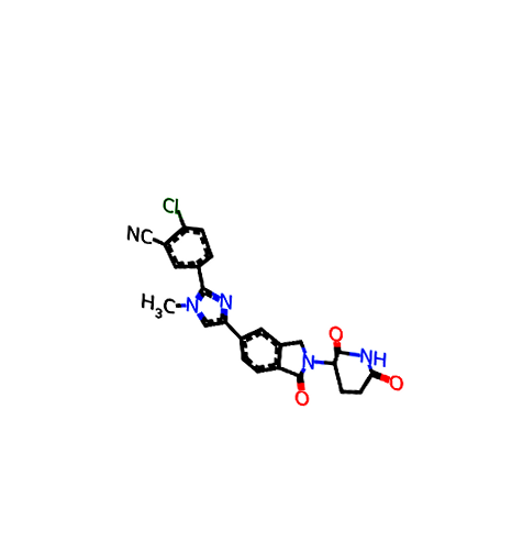 Cn1cc(-c2ccc3c(c2)CN(C2CCC(=O)NC2=O)C3=O)nc1-c1ccc(Cl)c(C#N)c1